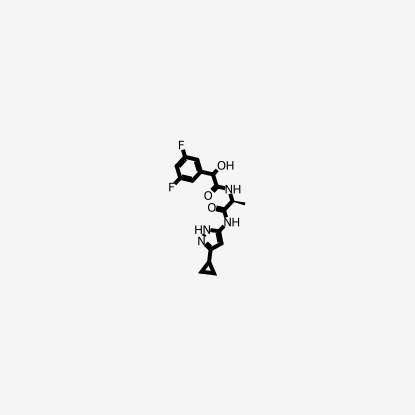 C[C@H](NC(=O)C(O)c1cc(F)cc(F)c1)C(=O)Nc1cc(C2CC2)n[nH]1